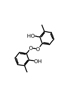 Cc1cccc(OOc2cccc(C)c2O)c1O